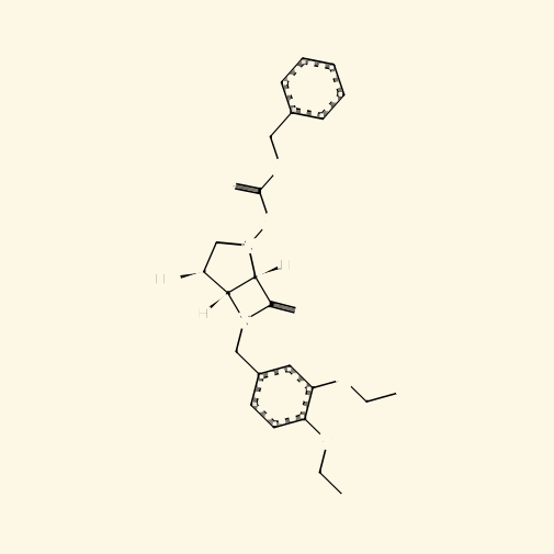 CCOc1ccc(CN2C(=O)[C@@H]3[C@H]2[C@@H](O)CN3OC(=O)OCc2ccccc2)cc1OCC